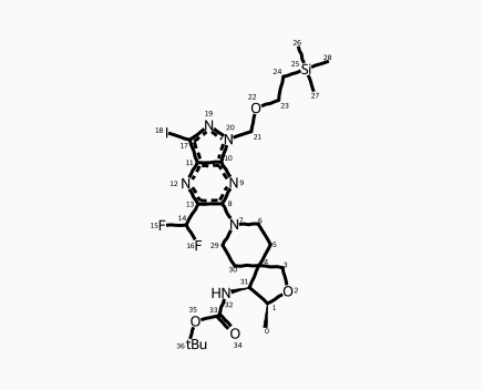 C[C@@H]1OCC2(CCN(c3nc4c(nc3C(F)F)c(I)nn4COCC[Si](C)(C)C)CC2)[C@@H]1NC(=O)OC(C)(C)C